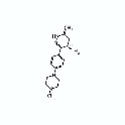 C=C1C[C@@H](C)C(c2ccc(N3CCN(C)CC3)cc2)=NN1